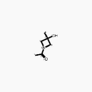 CC(=O)N1CC(C)(O)C1